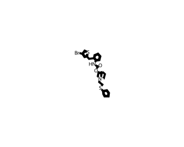 O=C(Nc1ccccc1Cc1cc(Br)cs1)OC1C[N+]2(CCSc3ccccc3)CCC1CC2